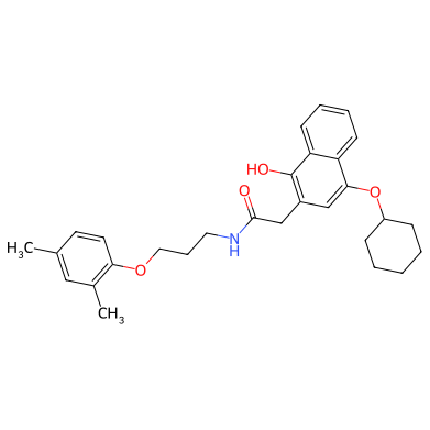 Cc1ccc(OCCCNC(=O)Cc2cc(OC3CCCCC3)c3ccccc3c2O)c(C)c1